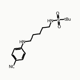 CC(C)(C)S(=O)(=O)NCCCCCNc1ccc(C#N)cc1